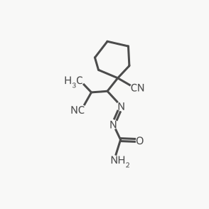 CC(C#N)C(N=NC(N)=O)C1(C#N)CCCCC1